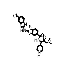 CN(C)CC(=O)C(NC(=O)c1ccc2c(c1)nc(Nc1nc3ccc(Cl)cc3s1)n2C)C1CCNCC1